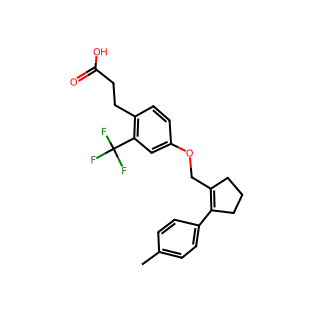 Cc1ccc(C2=C(COc3ccc(CCC(=O)O)c(C(F)(F)F)c3)CCC2)cc1